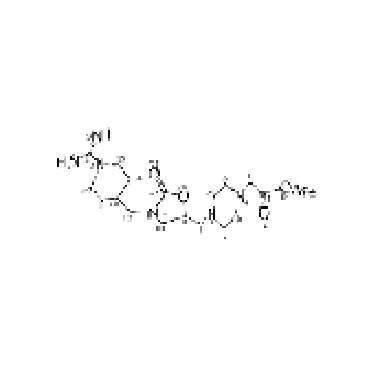 COC(=O)CN1CCN(CC2CN(CC3CCN(C(=N)N)CC3)C(=O)O2)CC1